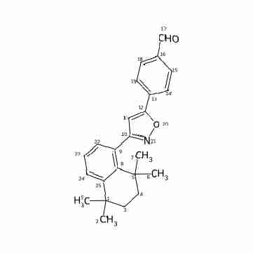 CC1(C)CCC(C)(C)c2c(-c3cc(-c4ccc(C=O)cc4)on3)cccc21